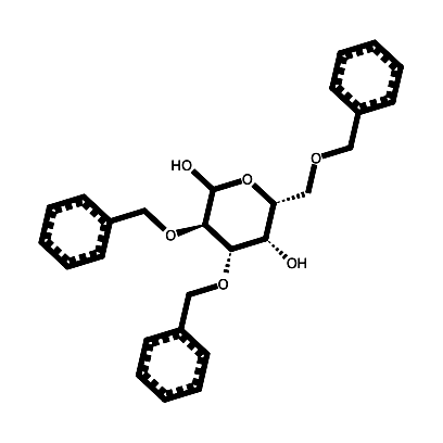 OC1O[C@H](COCc2ccccc2)[C@H](O)[C@H](OCc2ccccc2)[C@H]1OCc1ccccc1